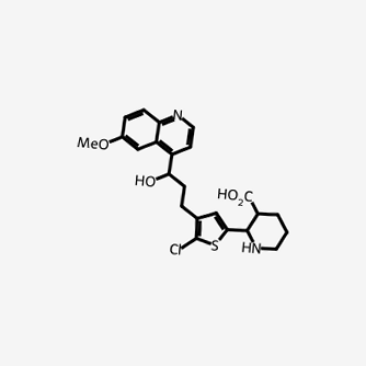 COc1ccc2nccc(C(O)CCc3cc(C4NCCCC4C(=O)O)sc3Cl)c2c1